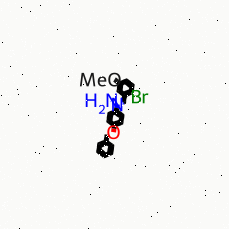 COc1ccc(Br)c(CN(N)c2ccc(OCc3ccccc3)cc2)c1